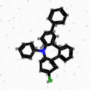 Brc1ccc2c(c1)-c1ccccc1-c1cc(-c3ccccc3)ccc1N2c1ccccc1